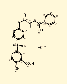 C[C@H](Cc1ccc(S(=O)(=O)c2ccc(O)c(C(=O)O)c2)cc1)NC[C@H](O)c1ccccc1.Cl